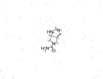 NC(=O)N1CC2=CN=CNC2C1